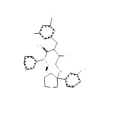 CC(C)(C)c1cccc(C2(NCC(O)C(Cc3cc(F)cc(F)c3)C(=N)N(N=N)c3ccccc3)CCCCC2)c1